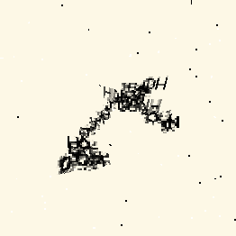 Cc1ncsc1-c1ccc(CNC(=O)[C@@H]2C[C@@H](O)CN2C(=O)C(NC(=O)CCCOCCCCCCOc2cc(F)c([C@@H]3c4[nH]c5ccccc5c4C[C@@H](C)N3CC(C)(C)F)c(F)c2)C(C)(C)C)cc1